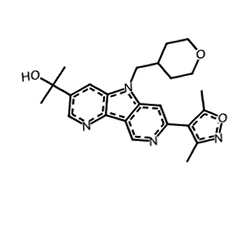 Cc1noc(C)c1-c1cc2c(cn1)c1ncc(C(C)(C)O)cc1n2CC1CCOCC1